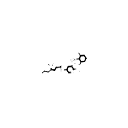 CCCc1cc(C(=O)Nc2cnc(OC)c(S(=O)(=O)Nc3c(C)cccc3C)c2)nn1C